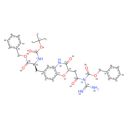 CC(C)(C)OC(=O)N[C@@H](Cc1ccc2c(c1)NC(=O)C(CC(=O)N(C(=N)N)C(=O)OCc1ccccc1)O2)C(=O)OCc1ccccc1